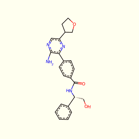 Nc1ncc(C2CCOC2)nc1-c1ccc(C(=O)N[C@H](CO)c2ccccc2)cc1